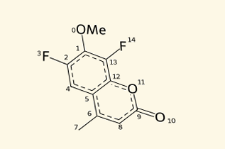 COc1c(F)cc2c(C)cc(=O)oc2c1F